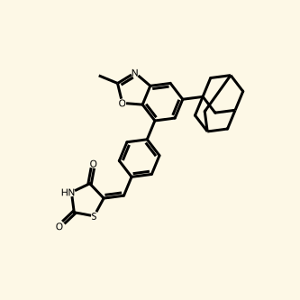 Cc1nc2cc(C34CC5CC(CC(C5)C3)C4)cc(-c3ccc(/C=C4/SC(=O)NC4=O)cc3)c2o1